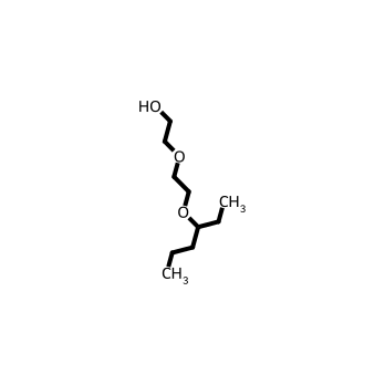 CCCC(CC)OCCOCCO